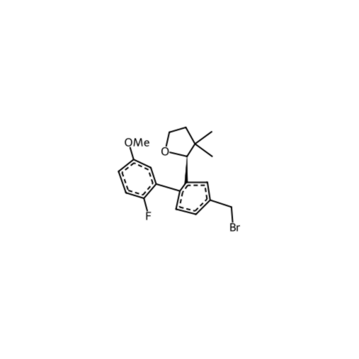 COc1ccc(F)c(-c2ccc(CBr)cc2[C@H]2OCCC2(C)C)c1